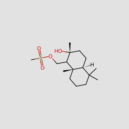 CC1(C)CCC[C@]2(C)C(COS(C)(=O)=O)[C@](C)(O)CC[C@@H]12